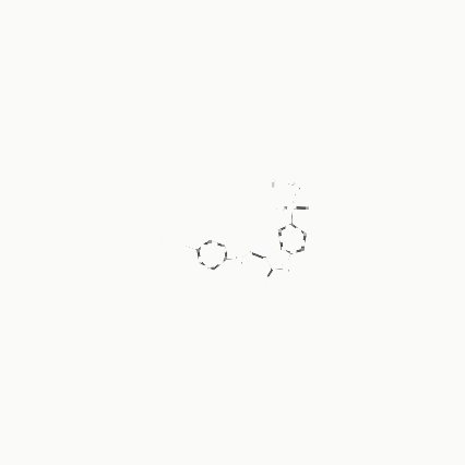 CC(C)NS(=O)(=O)c1ccc2c(c1)/C(=C/Nc1ccc(C(=O)O)cc1)C(=O)N2